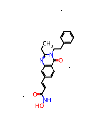 CCc1nc2cc(/C=C/C(=O)NO)ccc2c(=O)n1CCc1ccccc1